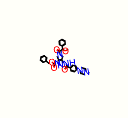 COC(C(=O)N1Cc2c(NC(=O)c3ccc(N4CCN(C)CC4)cc3)nn(C(=O)OCc3ccccc3)c2C1)c1ccccc1